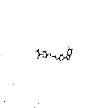 O=C(C1CC1)N1CCC(OCCOC2CCN(c3cnc4ccc(Cl)cn34)CC2)CC1